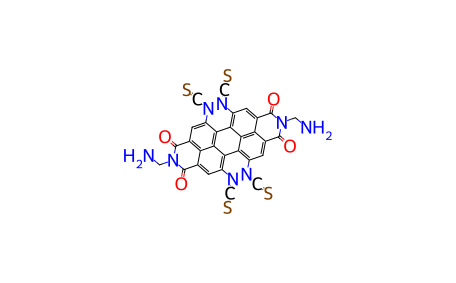 NCN1C(=O)c2cc(N=C=S)c3c4c(N=C=S)cc5c6c(cc(N=C=S)c(c7c(N=C=S)cc(c2c37)C1=O)c64)C(=O)N(CN)C5=O